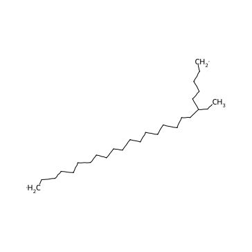 [CH2]CCCCCCCCCCCCCCCCCCC(CC)CCCC[CH2]